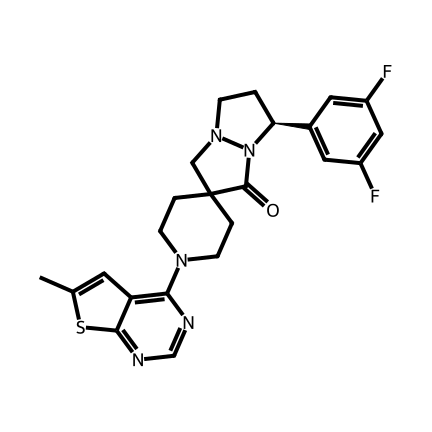 Cc1cc2c(N3CCC4(CC3)CN3CC[C@@H](c5cc(F)cc(F)c5)N3C4=O)ncnc2s1